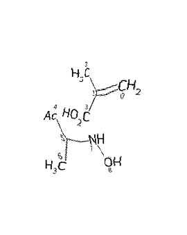 C=C(C)C(=O)O.CC(=O)C(C)NO